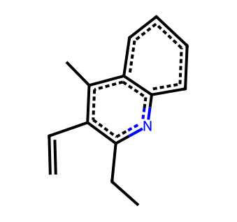 C=Cc1c(CC)nc2ccccc2c1C